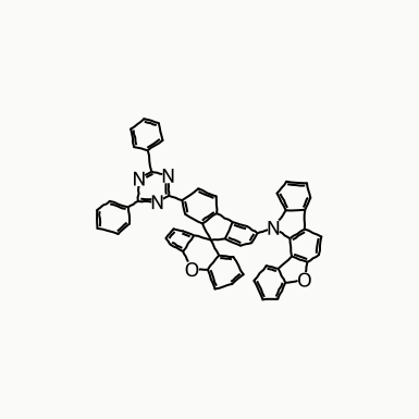 c1ccc(-c2nc(-c3ccccc3)nc(-c3ccc4c(c3)C3(c5ccccc5Oc5ccccc53)c3ccc(-n5c6ccccc6c6ccc7oc8ccccc8c7c65)cc3-4)n2)cc1